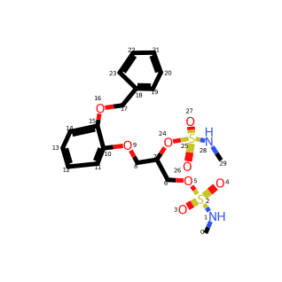 CNS(=O)(=O)OCC(COc1ccccc1OCc1ccccc1)OS(=O)(=O)NC